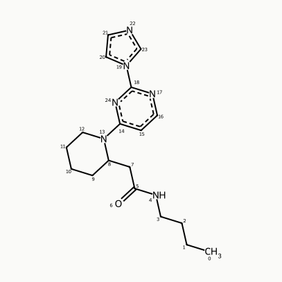 CCCCNC(=O)CC1CCCCN1c1ccnc(-n2ccnc2)n1